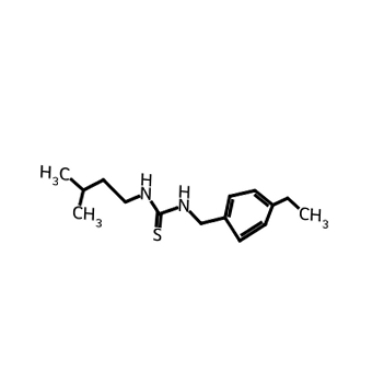 CCc1ccc(CNC(=S)NCCC(C)C)cc1